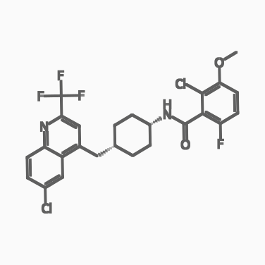 COc1ccc(F)c(C(=O)N[C@H]2CC[C@@H](Cc3cc(C(F)(F)F)nc4ccc(Cl)cc34)CC2)c1Cl